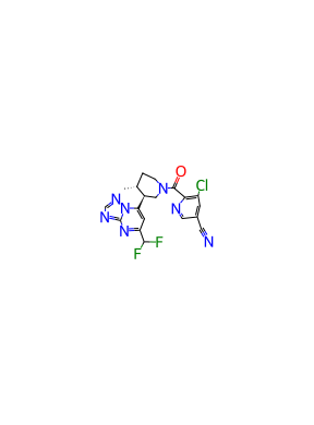 C[C@@H]1CCN(C(=O)c2ncc(C#N)cc2Cl)C[C@H]1c1cc(C(F)F)nc2ncnn12